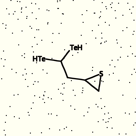 [TeH]C([TeH])CC1CS1